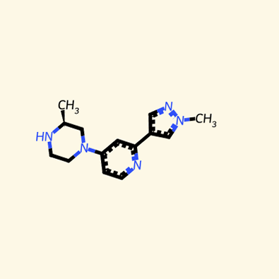 C[C@H]1CN(c2ccnc(-c3cnn(C)c3)c2)CCN1